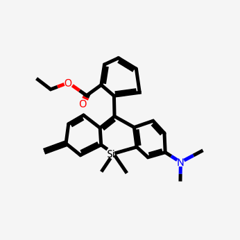 C=c1ccc2c(c1)[Si](C)(C)c1cc(N(C)C)ccc1C=2c1ccccc1C(=O)OCC